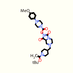 C=C(OC(C)(C)C)N1CCC(CN2CCN3C(=O)N(OC(=O)N4CCN(c5ccc(OC)cc5)CC4)C(=O)C3C2)CC1